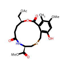 COC(=O)[C@@H]1CSCc2c(O)cc(OC)c(C)c2C(=O)O[C@H](COC(C)=O)CCC(=O)N1